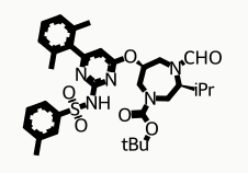 Cc1cccc(S(=O)(=O)Nc2nc(O[C@@H]3CN(C(=O)OC(C)(C)C)C[C@H](C(C)C)N(C=O)C3)cc(-c3c(C)cccc3C)n2)c1